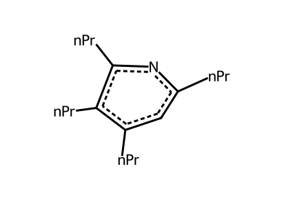 CCCc1cc(CCC)c(CCC)c(CCC)n1